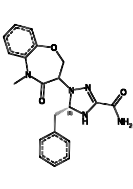 CN1C(=O)C(N2N=C(C(N)=O)N[C@@H]2Cc2ccccc2)COc2ccccc21